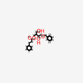 O=C(CCc1ccccc1)OCC(CO)C(O)COCc1ccccc1